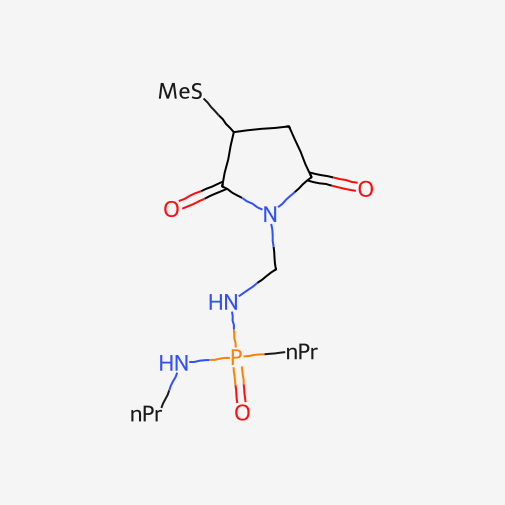 CCCNP(=O)(CCC)NCN1C(=O)CC(SC)C1=O